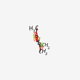 CCCCCCOc1ccc(OC(=O)c2ccc(C3=CCC(C4=CC=C(OCCCC)C(C)(F)C4F)CC3)cc2F)c(F)c1F